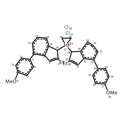 CCC1=Cc2c(-c3ccc(OC)cc3)cccc2[CH]1[Hf+2]1([CH]2C(CC)=Cc3c(-c4ccc(OC)cc4)cccc32)[CH2][CH2]1.[Cl-].[Cl-]